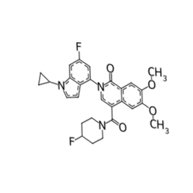 COc1cc2c(C(=O)N3CCC(F)CC3)cn(-c3cc(F)cc4c3ccn4C3CC3)c(=O)c2cc1OC